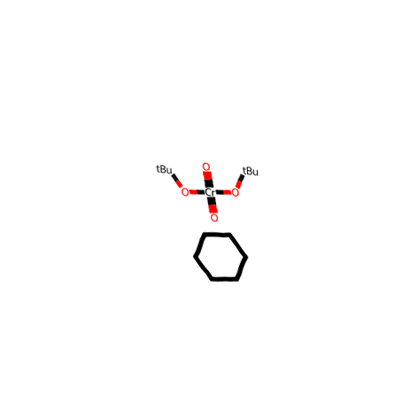 C1CCCCC1.CC(C)(C)[O][Cr](=[O])(=[O])[O]C(C)(C)C